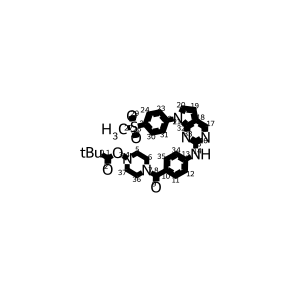 CC(C)(C)C(=O)ON1CCN(C(=O)c2ccc(Nc3ncc4ccn(-c5ccc(S(C)(=O)=O)cc5)c4n3)cc2)CC1